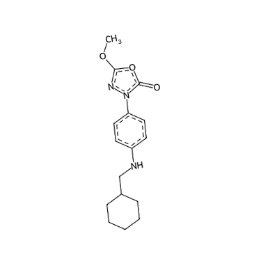 COc1nn(-c2ccc(NCC3CCCCC3)cc2)c(=O)o1